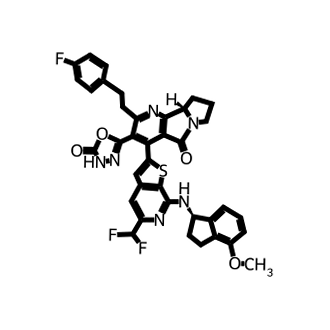 COc1cccc2c1CC[C@H]2Nc1nc(C(F)F)cc2cc(-c3c4c(nc(CCc5ccc(F)cc5)c3-c3n[nH]c(=O)o3)[C@@H]3CCCN3C4=O)sc12